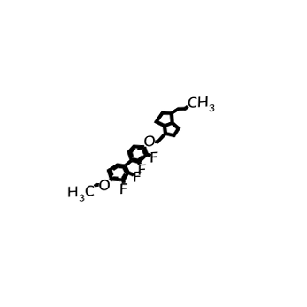 CCCC1CCC2C(COc3ccc(-c4ccc(OCC)c(F)c4F)c(F)c3F)CCC12